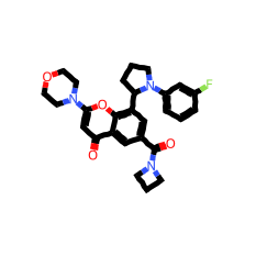 O=C(c1cc(C2CCCN2c2cccc(F)c2)c2oc(N3CCOCC3)cc(=O)c2c1)N1CCC1